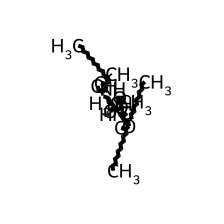 CCCCCCCCCCCC(=O)O[C@H](CCCCCCCCCCC)CC(=O)N[C@@H](OP(C)(C)=O)C(=O)NCCC[C@H](CO)NC(=O)C[C@H](C)CCCCCCCCCCC